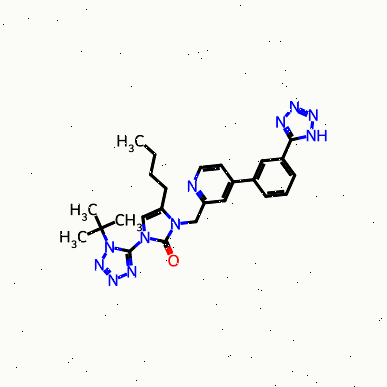 CCCCc1cn(-c2nnnn2C(C)(C)C)c(=O)n1Cc1cc(-c2cccc(-c3nnn[nH]3)c2)ccn1